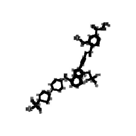 CNC(=O)c1ccc(NCC#Cc2cc3c(N[C@H]4CC[C@@H](N5CCC(S(C)(=O)=O)CC5)CC4)cccc3n2CC(F)(F)F)c(OC)c1